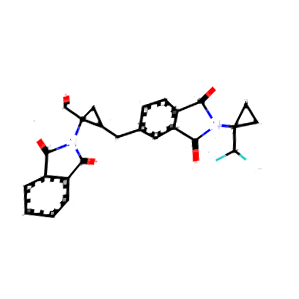 O=CC1(N2C(=O)c3ccccc3C2=O)CC1Cc1ccc2c(c1)C(=O)N(C1(C(F)F)CC1)C2=O